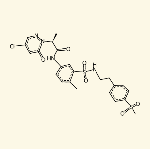 Cc1ccc(NC(=O)[C@H](C)n2ncc(Cl)cc2=O)cc1S(=O)(=O)NCCc1ccc(S(C)(=O)=O)cc1